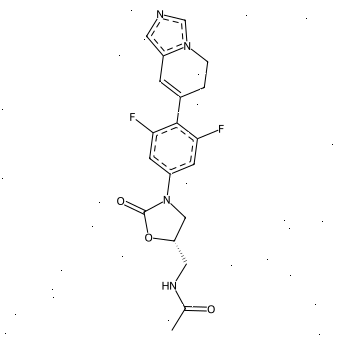 CC(=O)NC[C@H]1CN(c2cc(F)c(C3=Cc4cncn4CC3)c(F)c2)C(=O)O1